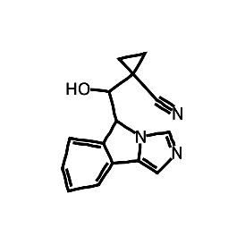 N#CC1(C(O)C2c3ccccc3-c3cncn32)CC1